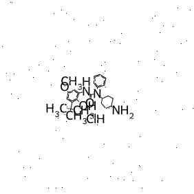 COc1cc(NC(=O)N(c2ccccc2)C2CCC(N)CC2)c(O)c(C(C)(C)C)c1.Cl